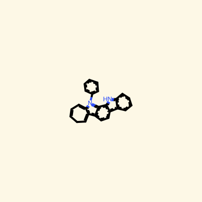 C1=CCC=c2c(n(-c3ccccc3)c3c2ccc2c4ccccc4[nH]c23)=C1